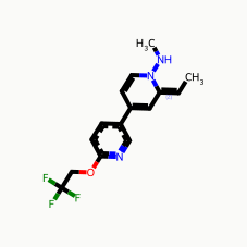 C/C=C1/C=C(c2ccc(OCC(F)(F)F)nc2)C=CN1NC